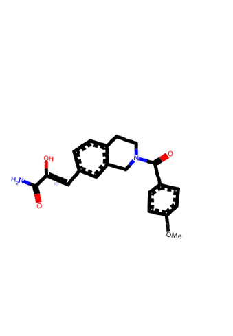 COc1ccc(C(=O)N2CCc3ccc(/C=C(\O)C(N)=O)cc3C2)cc1